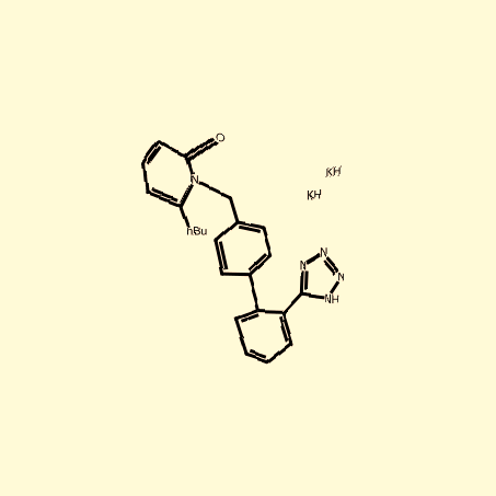 CCCCc1cccc(=O)n1Cc1ccc(-c2ccccc2-c2nnn[nH]2)cc1.[KH].[KH]